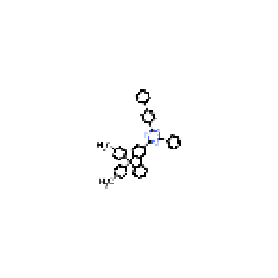 Cc1ccc(C2(c3ccc(C)cc3)c3ccccc3-c3cc(-c4nc(-c5ccccc5)nc(-c5ccc(-c6ccccc6)cc5)n4)ccc32)cc1